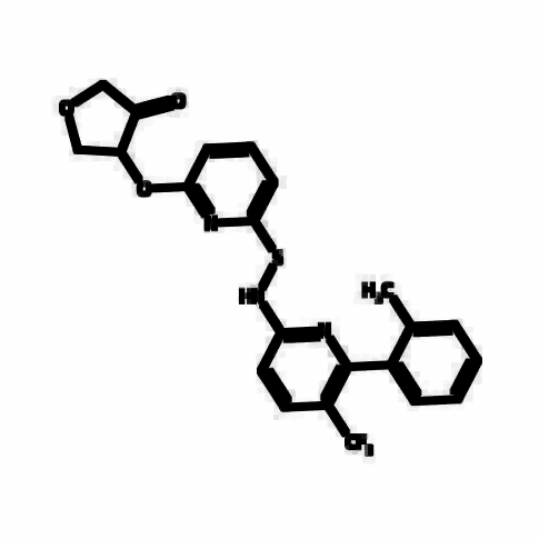 Cc1ccccc1-c1nc(NSc2cccc(OC3COCC3=O)n2)ccc1C(F)(F)F